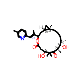 C/C(=C\c1ccc(C)cn1)C1C[C@@H]2C[C@]2(C)CCC[C@H](C)[C@H](O)[C@@H](C)C(=O)C(C)(C)[C@@H](O)CC(=O)O1